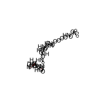 CCCCCCN(C(=O)[C@@H](NC(=O)[C@H]1CCCCN1C)[C@@H](C)CC)[C@H](C[C@@H](OC(C)=O)c1nc(C(=O)N[C@@H](Cc2ccc(NCCOCNC(=O)CNC(=O)[C@H](Cc3ccccc3)NC(=O)CNC(=O)CNC(=O)CCOCCOCCOCCOCCNC(=O)CCC(=O)N3Cc4ccccc4C#Cc4ccccc43)cc2)CC(C)(C)C(=O)O)cs1)C(C)C